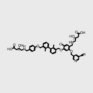 Cc1c(COc2ccc(CNC[C@@H](O)CC(=O)O)cc2)cccc1-c1cccc(COc2cc(OCc3cncc(C#N)c3)c(CNC[C@@H](O)CC(=O)O)cc2Cl)c1C